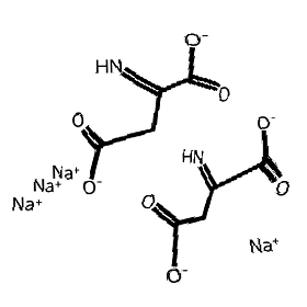 N=C(CC(=O)[O-])C(=O)[O-].N=C(CC(=O)[O-])C(=O)[O-].[Na+].[Na+].[Na+].[Na+]